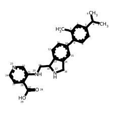 Cc1cc(C(C)C)ccc1-c1ccc2c(c1)CNC2CNc1cnccc1C(=O)O